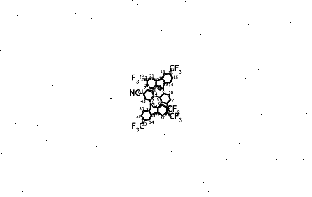 N#Cc1ccc(-c2cc(C(F)(F)F)ccc2-n2c3ccc(C(F)(F)F)cc3c3cc(C(F)(F)F)ccc32)c(-n2c3ccc(C(F)(F)F)cc3c3cc(C(F)(F)F)ccc32)c1